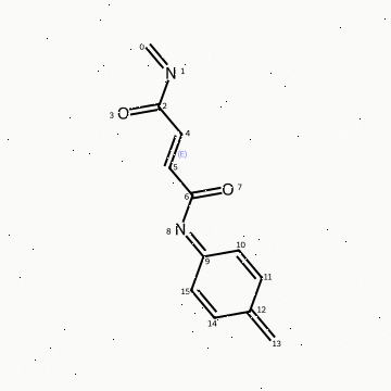 C=NC(=O)/C=C/C(=O)N=C1C=CC(=C)C=C1